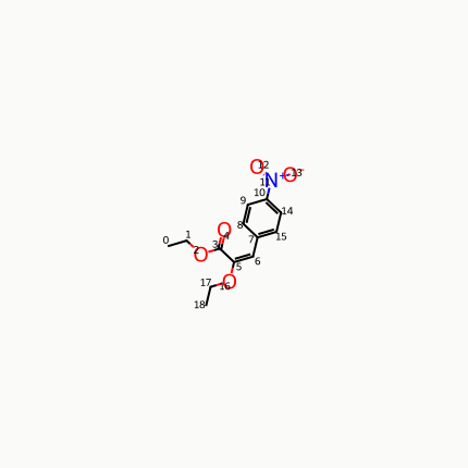 CCOC(=O)/C(=C\c1ccc([N+](=O)[O-])cc1)OCC